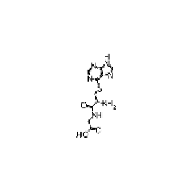 NC(CSc1ncnc2[nH]cnc12)C(=O)NCC(=O)O